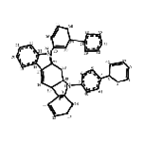 C1=CCC(c2ccc(N3C4=C(C=CCC4)C4C=C5c6ccccc6N(C6=CC(c7ccccc7)CC=C6)C5CC43)cc2)C=C1